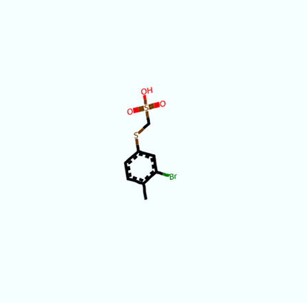 Cc1ccc(SCS(=O)(=O)O)cc1Br